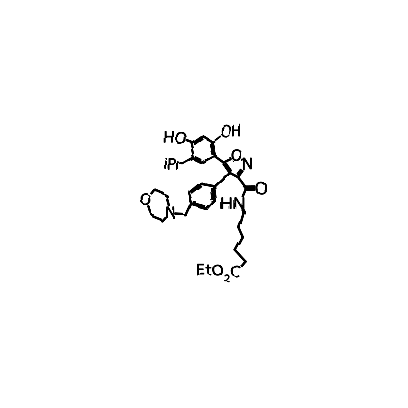 CCOC(=O)CCCCCNC(=O)c1noc(-c2cc(C(C)C)c(O)cc2O)c1-c1ccc(CN2CCOCC2)cc1